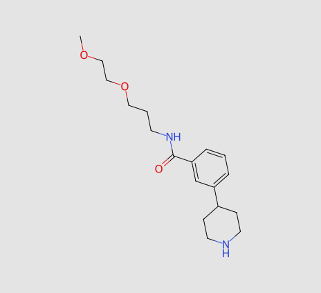 COCCOCCCNC(=O)c1cccc(C2CCNCC2)c1